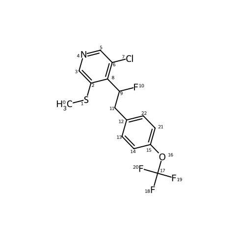 CSc1cncc(Cl)c1C(F)Cc1ccc(OC(F)(F)F)cc1